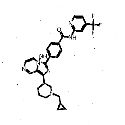 N[N+]12C=CN=CC1=C(C1CCCN(CC3CC3)C1)N=C2c1ccc(C(=O)Nc2cc(C(F)(F)F)ccn2)cc1